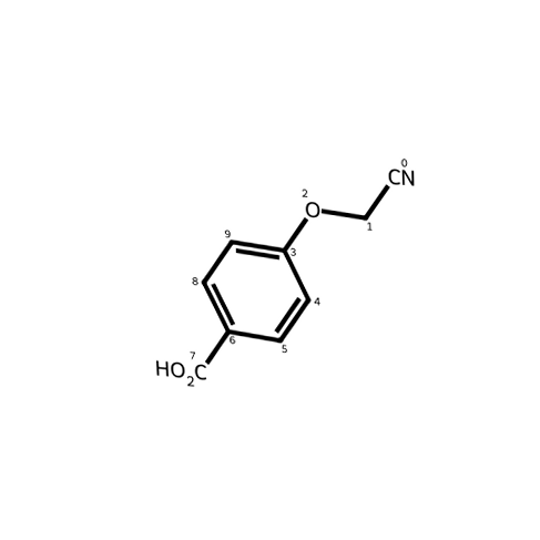 N#CCOc1ccc(C(=O)O)cc1